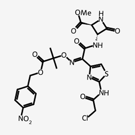 COC(=O)[C@H]1NC(=O)[C@@H]1NC(=O)/C(=N\OC(C)(C)C(=O)OCc1ccc([N+](=O)[O-])cc1)c1csc(NC(=O)CCl)n1